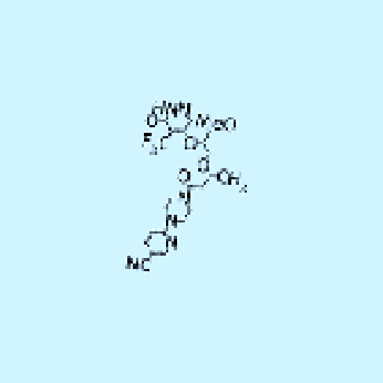 COC[C@@H](CO[C@@H](C)CC(=O)N1CCN(c2ccc(C#N)cn2)CC1)Oc1cn[nH]c(=O)c1C(F)(F)F